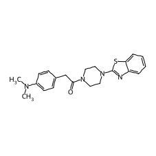 CN(C)c1ccc(CC(=O)N2CCN(c3nc4ccccc4s3)CC2)cc1